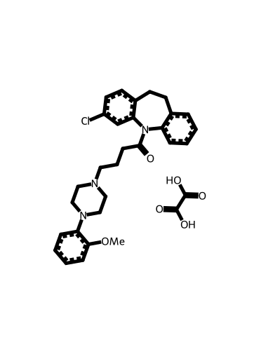 COc1ccccc1N1CCN(CCCC(=O)N2c3ccccc3CCc3ccc(Cl)cc32)CC1.O=C(O)C(=O)O